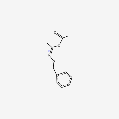 CC(=O)O/C(C)=N\OCc1ccccc1